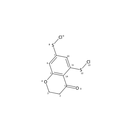 O=C1CCOc2cc(SCl)cc(SCl)c21